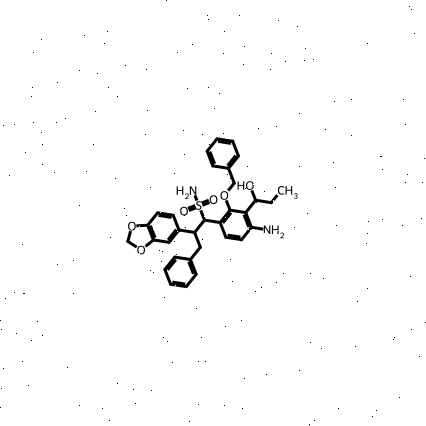 CCC(O)c1c(N)ccc(C(C(Cc2ccccc2)c2ccc3c(c2)OCO3)S(N)(=O)=O)c1OCc1ccccc1